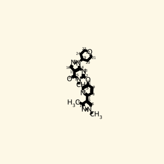 Cc1nn(C)cc1-c1ccc(Oc2nc3c(cnn3C3CCOCC3)c(=O)n2C)cn1